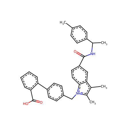 Cc1ccc(C(C)NC(=O)c2ccc3c(c2)c(C)c(C)n3Cc2ccc(-c3ccccc3C(=O)O)cc2)cc1